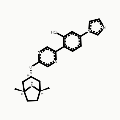 C[C@]12CC[C@](C)(C[C@H](Oc3cnc(-c4ccc(-n5ccnc5)cc4O)cn3)C1)N2